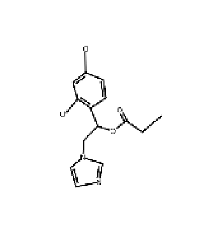 CCC(=O)OC(Cn1ccnc1)c1ccc(Cl)cc1Cl